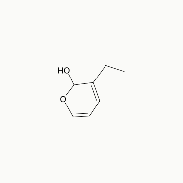 CCC1=CC=COC1O